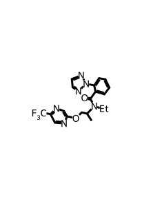 CCN(C(=O)c1ccccc1-n1nccn1)C(C)COc1cnc(C(F)(F)F)cn1